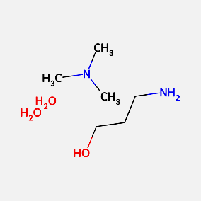 CN(C)C.NCCCO.O.O